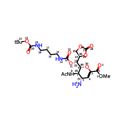 COC(=O)C1=C[C@H](N)[C@@H](NC(C)=O)[C@H]([C@H](OC(=O)NCCCCNC(=O)OC(C)(C)C)[C@H]2COC(=O)O2)O1